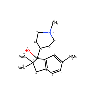 CNc1ccc2c(c1)C(O)(C1CCN(C)CC1)C(NC)(NC)C2